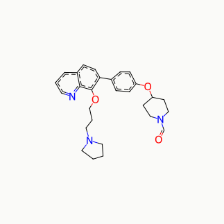 O=CN1CCC(Oc2ccc(-c3ccc4cccnc4c3OCCCN3CCCC3)cc2)CC1